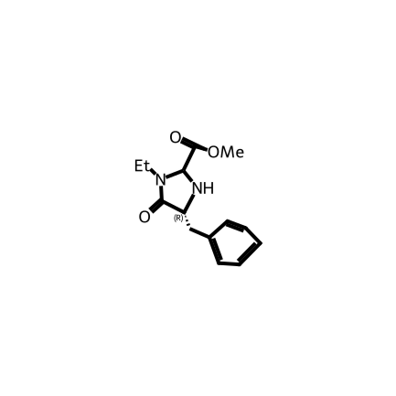 CCN1C(=O)[C@@H](Cc2ccccc2)NC1C(=O)OC